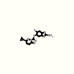 Nc1nc2cc(F)c(Sc3nnc4ccc(C5CC5)nn34)cc2s1